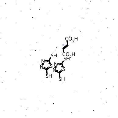 O=C(O)/C=C/C(=O)O.Sc1nnc(S)s1.Sc1nnc(S)s1